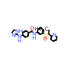 O=C(O)CC(c1ccccn1)[S+]([O-])c1cccc(NC(=O)c2ccc(NC3=NCCN3)cc2)c1